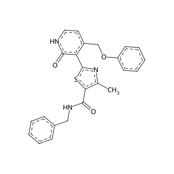 Cc1nc(-c2c(COc3ccccc3)cc[nH]c2=O)sc1C(=O)NCc1ccccc1